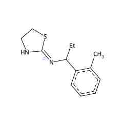 CCC(/N=C1/NCCS1)c1ccccc1C